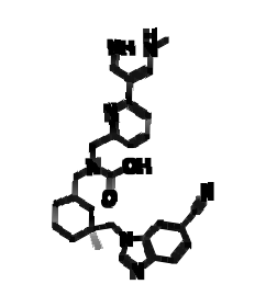 CN/C=C(\C=N)c1cccc(CN(CC2CCC[C@](C)(Cn3cnc4ccc(C#N)cc43)C2)C(=O)O)n1